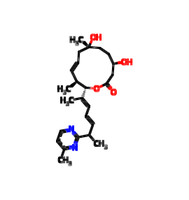 C/C(=C\C=C\C(C)c1nccc(C)n1)[C@H]1OC(=O)C[C@H](O)CC[C@@](C)(O)C/C=C/[C@@H]1C